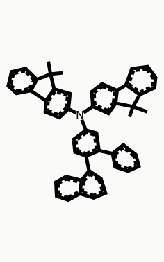 CC1(C)c2ccccc2-c2ccc(N(c3ccc(-c4cccc5ccccc45)c(-c4ccccc4)c3)c3ccc4c(c3)C(C)(C)c3ccccc3-4)cc21